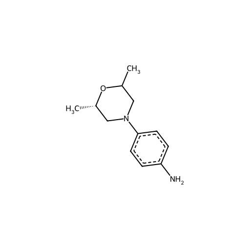 CC1CN(c2ccc(N)cc2)C[C@H](C)O1